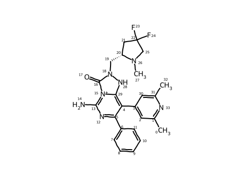 Cc1cc(-c2c(-c3ccccc3)nc(N)[n+]3c(=O)n(C[C@@H]4CC(F)(F)CN4C)[nH]c23)cc(C)n1